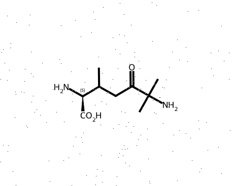 CC(CC(=O)C(C)(C)N)[C@H](N)C(=O)O